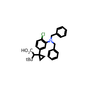 CC(C)(C)C(C(=O)O)C1(c2ccc(Cl)c(N(Cc3ccccc3)Cc3ccccc3)c2)CC1